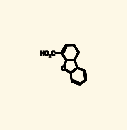 O=C(O)C1=CCCC2C1OC1C=CC=CC12